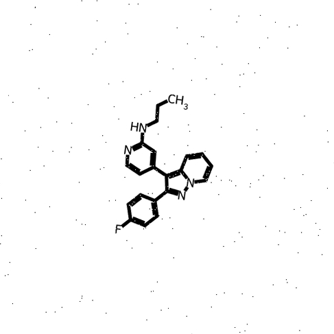 CCCNc1cc(-c2c(-c3ccc(F)cc3)nn3ccccc23)ccn1